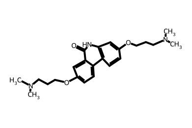 CN(C)CCCOc1ccc2c(c1)[nH]c(=O)c1cc(OCCCN(C)C)ccc12